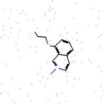 CCCOc1cccc2cc[n+]([O-])cc12